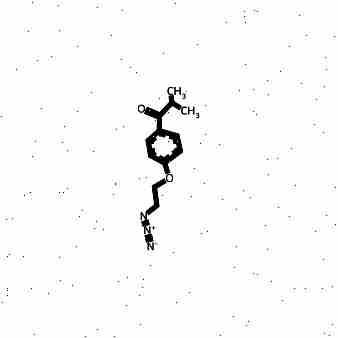 CC(C)C(=O)c1ccc(OCCN=[N+]=[N-])cc1